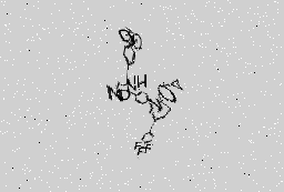 CCS(=O)(=O)c1ccc(C(CC#N)NC(=O)c2ccc(N3C[C@H](c4ccc(C(F)(F)F)cc4)CC[C@@H]3COCC3CC3)cc2)cc1